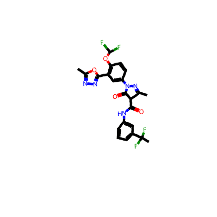 CC1=NN(c2ccc(OC(F)F)c(-c3nnc(C)o3)c2)C(=O)C1C(=O)Nc1cccc(C(C)(F)F)c1